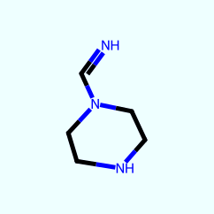 N=CN1CCNCC1